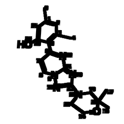 Cc1cc(C)c(-c2ccn3nc(N4CCOC(C)(C)C4)nc3n2)c(O)c1